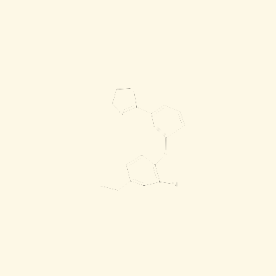 Nc1cc(CO)ccc1Nc1cccc(C2=NCCS2)c1